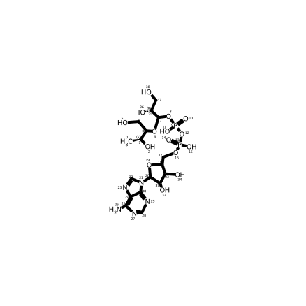 C[C@H](O)C(CO)OC(OP(=O)(O)OP(=O)(O)OCC1OC(n2cnc3c(N)ncnc32)C(O)C1O)[C@H](O)CO